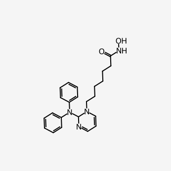 O=C(CCCCCCN1C=CC=NC1N(c1ccccc1)c1ccccc1)NO